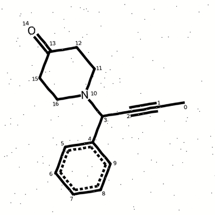 CC#CC(c1ccccc1)N1CCC(=O)CC1